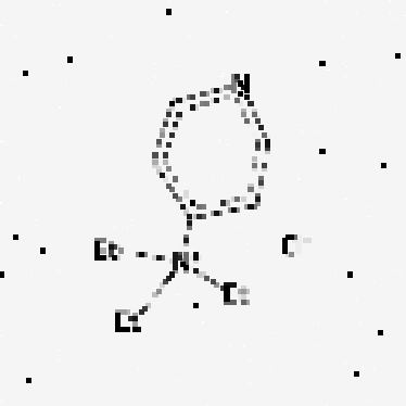 CC[N+](CC)(CC)c1ccncc1.[Cl-]